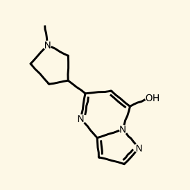 CN1CCC(c2cc(O)n3nccc3n2)C1